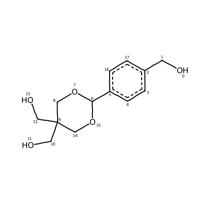 OCc1ccc(C2OCC(CO)(CO)CO2)cc1